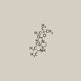 CC(C)N[C@H]1CCN(C(=O)OC(C)(C)C)[C@@H]1C